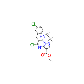 CCOC(=O)c1cnn2c(N[C@H](C)C(C)(C)C)c(Cc3cccc(Cl)c3)c(Cl)nc12